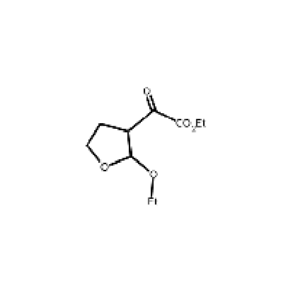 CCOC(=O)C(=O)C1CCOC1OCC